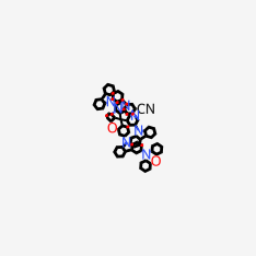 N#Cc1ccc2c(c1)c1ccccc1n2-c1cccc2c1C1(c3ccc(-n4c5ccccc5c5cc(N6c7ccccc7Oc7ccccc76)ccc54)cc3O2)c2cc(-n3c4ccccc4c4ccccc43)cnc2-c2ncc(-n3c4ccccc4c4ccccc43)cc21